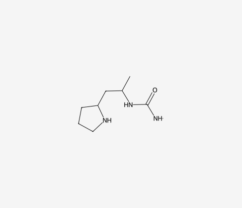 CC(CC1CCCN1)NC([NH])=O